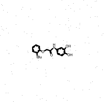 CC(C)(C)c1ccccc1OCC(=O)Nc1ccc(O)c(O)c1